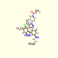 C=CC(=O)N1CCC(n2nc(-c3ccc(NCCOC)cc3F)c(-c3c(Cl)c(C)cc4[nH]ncc34)c2C)CC1